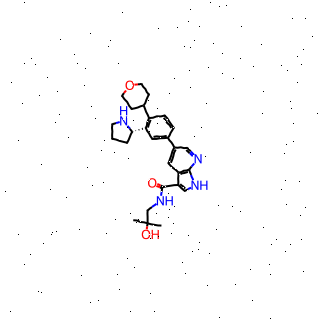 CC(C)(O)CNC(=O)c1c[nH]c2ncc(-c3ccc(C4CCOCC4)c([C@@H]4CCCN4)c3)cc12